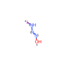 ON=NNI